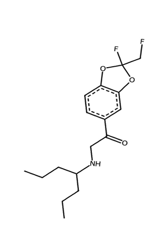 CCCC(CCC)NCC(=O)c1ccc2c(c1)OC(F)(CF)O2